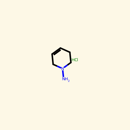 Cl.NN1CC=CCC1